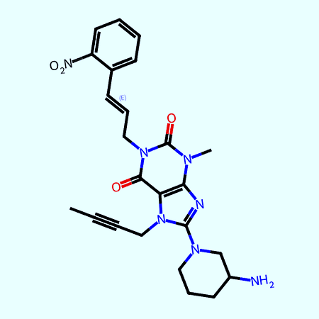 CC#CCn1c(N2CCCC(N)C2)nc2c1c(=O)n(C/C=C/c1ccccc1[N+](=O)[O-])c(=O)n2C